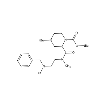 CCN(CCN(C)C(=O)C1CN(C(C)(C)C)CCN1C(=O)OC(C)(C)C)Cc1ccccc1